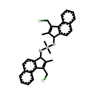 CC1=C(CCl)c2c(ccc3ccccc23)[CH]1[Zr][Si](C)(C)[Zr][CH]1C(C)=C(CCl)c2c1ccc1ccccc21